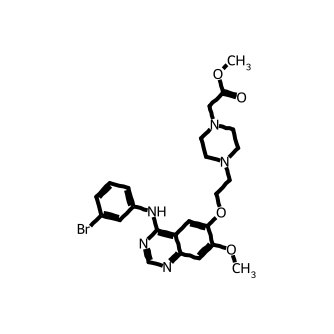 COC(=O)CN1CCN(CCOc2cc3c(Nc4cccc(Br)c4)ncnc3cc2OC)CC1